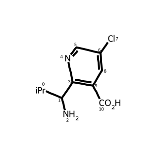 CC(C)C(N)c1ncc(Cl)cc1C(=O)O